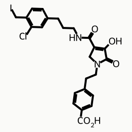 O=C(NCCCc1ccc(CI)c(Cl)c1)C1=C(O)C(=O)N(CCc2ccc(C(=O)O)cc2)C1